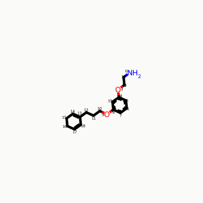 NCCOc1cccc(OCCCC2=CCCC=C2)c1